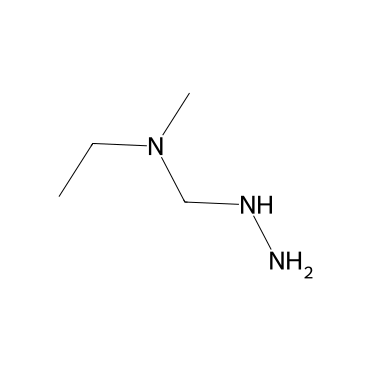 CCN(C)CNN